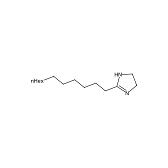 CCCCCCCCCCCCC1=NCCN1